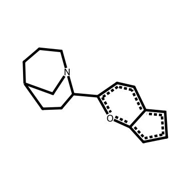 c1cc2ccc(C3CCC4CCCN3C4)oc-2c1